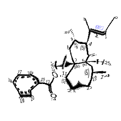 C/C=C(\C)[C@H]1C[C@H]2[C@@H](C[C@@H]1C)[C@@H](OC(=O)c1ccccc1)CC[C@@H]2C